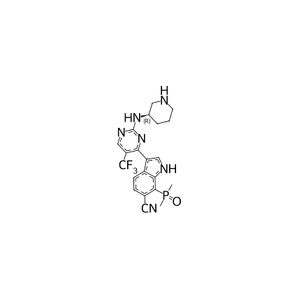 CP(C)(=O)c1c(C#N)ccc2c(-c3nc(N[C@@H]4CCCNC4)ncc3C(F)(F)F)c[nH]c12